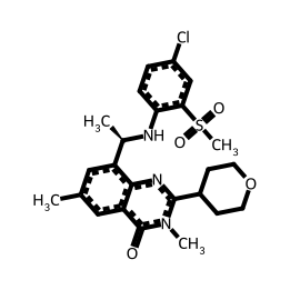 Cc1cc([C@@H](C)Nc2ccc(Cl)cc2S(C)(=O)=O)c2nc(C3CCOCC3)n(C)c(=O)c2c1